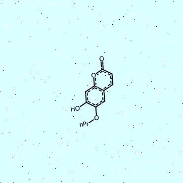 CCCOc1cc2ccc(=O)oc2cc1O